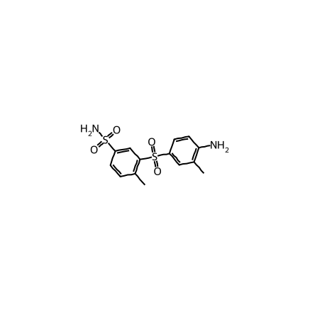 Cc1cc(S(=O)(=O)c2cc(S(N)(=O)=O)ccc2C)ccc1N